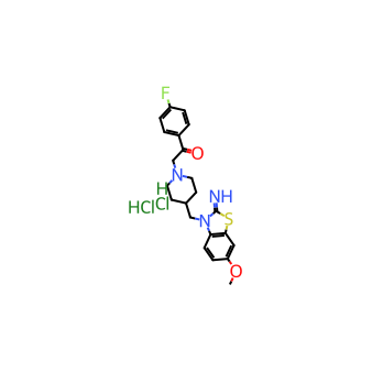 COc1ccc2c(c1)sc(=N)n2CC1CCN(CC(=O)c2ccc(F)cc2)CC1.Cl.Cl